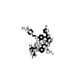 BC(c1ccccc1OC(B)(B)c1ccnn1CC(F)(F)F)C(Oc1ncnc2sc(-c3ccc(F)o3)c(-c3ccc(OCCN4CCN(C)CC4)c(Cl)c3C)c12)C(=O)OCC